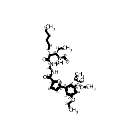 CCCCCC[C@@H](C(=O)NCNC(=O)c1ccc(-c2cc(OCC)cc(P(=O)(OC)OC)c2)o1)[C@@H](CC)N(O)C=O